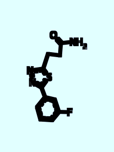 NC(=O)CCc1nnc(-c2cccc(F)c2)s1